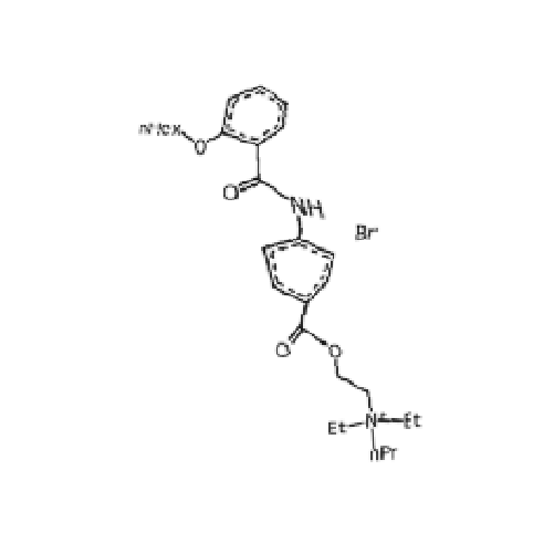 CCCCCCOc1ccccc1C(=O)Nc1ccc(C(=O)OCC[N+](CC)(CC)CCC)cc1.[Br-]